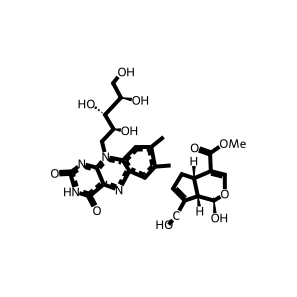 COC(=O)C1=CO[C@@H](O)[C@@H]2C(CO)=CC[C@H]12.Cc1cc2nc3c(=O)[nH]c(=O)nc-3n(C[C@H](O)[C@H](O)[C@H](O)CO)c2cc1C